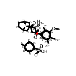 COCCN(C)S(=O)(=O)CC(=O)N1C2CCC1CC([C@H](N)Cc1cc(F)c(F)cc1F)C2.Cc1ccc(S(=O)(=O)O)cc1